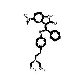 CCN(CC)CCc1ccc(NC(=C2C(=O)Nc3ccc([N+](=O)[O-])cc32)c2ccccc2)cc1